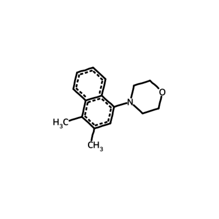 Cc1cc(N2CCOCC2)c2ccccc2c1C